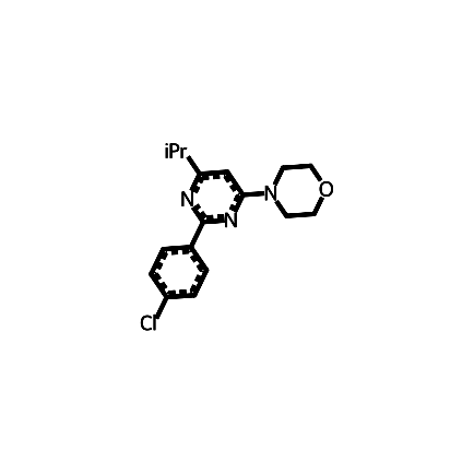 CC(C)c1cc(N2CCOCC2)nc(-c2ccc(Cl)cc2)n1